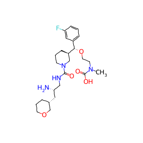 CN(CCO[C@@H](c1cccc(F)c1)[C@@H]1CCCN(C(=O)NC[C@@H](N)C[C@H]2CCCOC2)C1)C(=O)O